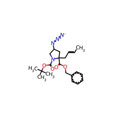 CC=CCC1(C(=O)OCc2ccccc2)CC(N=[N+]=[N-])CN1C(=O)OC(C)(C)C